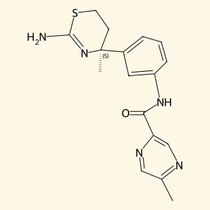 Cc1cnc(C(=O)Nc2cccc([C@]3(C)CCSC(N)=N3)c2)cn1